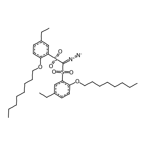 CCCCCCCCOc1ccc(CC)cc1S(=O)(=O)C(=[N+]=[N-])S(=O)(=O)c1cc(CC)ccc1OCCCCCCCC